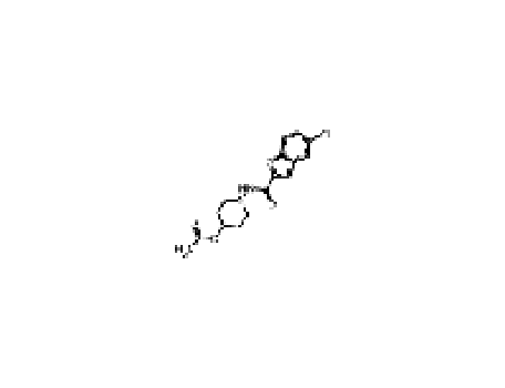 NC(=O)OC1CCN(NC(=O)c2cc3cc(Cl)ccc3o2)CC1